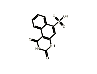 O=c1[nH]c(=O)c2c(cc(S(=O)(=O)O)c3ccccc32)[nH]1